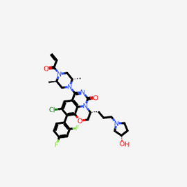 C=CC(=O)N1C[C@H](C)N(c2nc(=O)n3c4c(c(-c5ccc(F)cc5F)c(Cl)cc24)OC[C@H]3CCCN2CC[C@H](O)C2)C[C@H]1C